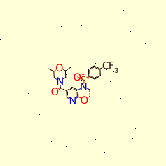 CC1CN(C(=O)c2cnc3c(c2)N([S+]([O-])c2ccc(C(F)(F)F)cc2)CCO3)CC(C)O1